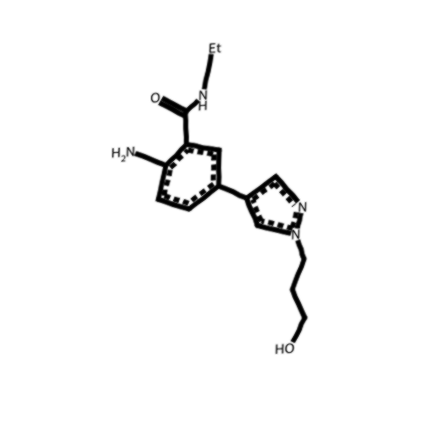 CCNC(=O)c1cc(-c2cnn(CCCO)c2)ccc1N